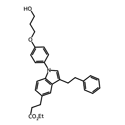 CCOC(=O)CCc1ccc2c(c1)c(CCc1ccccc1)cn2-c1ccc(OCCCO)cc1